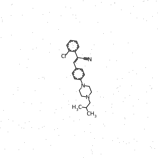 CC(C)CN1CCN(c2ccc(C=C(C#N)c3ccccc3Cl)cc2)CC1